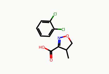 CC1CON=C1C(=O)O.Clc1ccccc1Cl